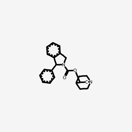 O=C(OC1CN2CCC1CC2)N1Cc2ccccc2C1c1ccccc1